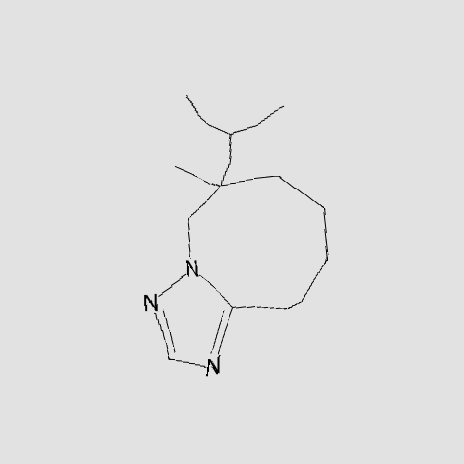 CC(C)C1(C)CCCCc2ncnn2C1